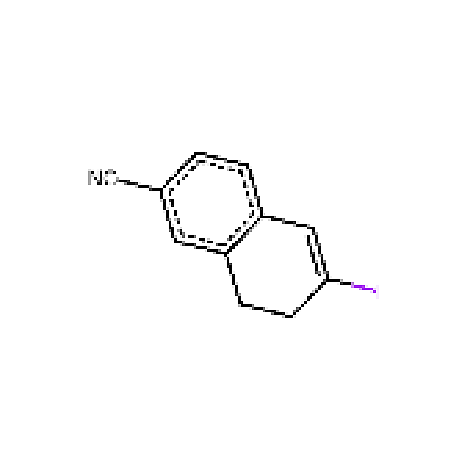 N#Cc1ccc2c(c1)CCC(I)=C2